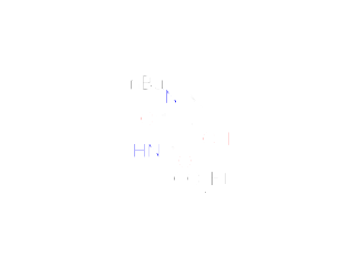 CCCCn1c2c(c(O)c(C(=O)NC3CCCCC3C(=O)OCC)c1=O)CCCCCC2